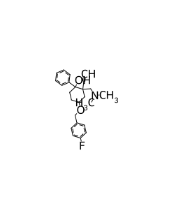 C#CC1(CN(C)C)CC(OCc2ccc(F)cc2)CCC1(O)c1ccccc1